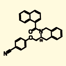 N#Cc1ccc(OC[C@@H]2Cc3ccccc3CN2C(=O)c2cccc3ccccc23)cc1